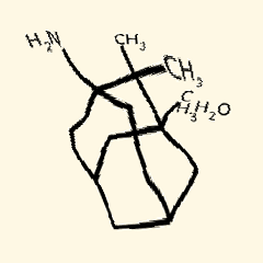 CC12CC3CC(C1)CC(N)(C3)C2(C)C.O